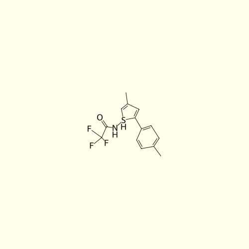 CC1=C[SH](NC(=O)C(F)(F)F)C(c2ccc(C)cc2)=C1